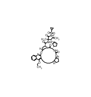 C=C[C@H](C)C(C)(NC(=O)[C@@H]1C[C@@H]2CN1C(=O)[C@H](C1CCCC1)NC(=O)O[C@@H]1CCC[C@H]1CCCCCc1c(nc3ccccc3c1OCC)O2)C(=O)NS(=O)(=O)C1CC1